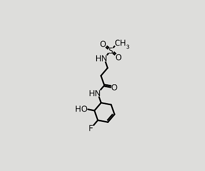 CS(=O)(=O)NCCC(=O)NC1CC=CC(F)C1O